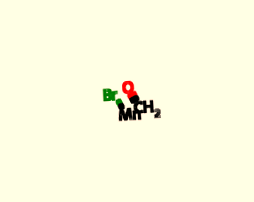 C=O.[Mn][Br]